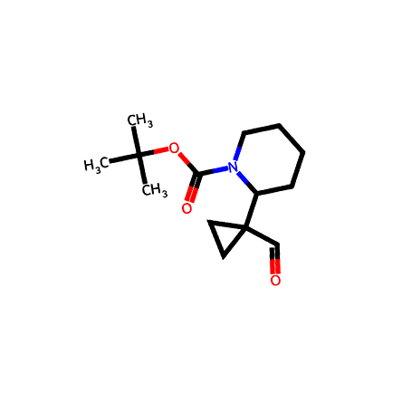 CC(C)(C)OC(=O)N1CCCCC1C1(C=O)CC1